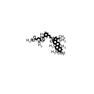 C=C(C)C1CCC2(C(=O)NCCc3cccc(C(=O)NC(CCC(=O)OC)C(N)=O)c3)CCC3C(CCC4C3(C)CCC3C(C)(C)C(O)CCC34C)C12